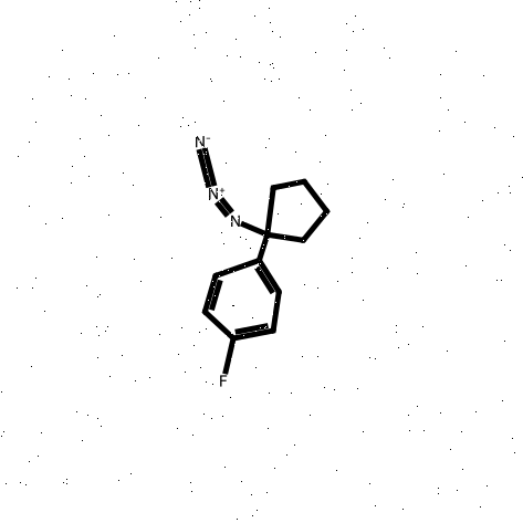 [N-]=[N+]=NC1(c2ccc(F)cc2)CCCC1